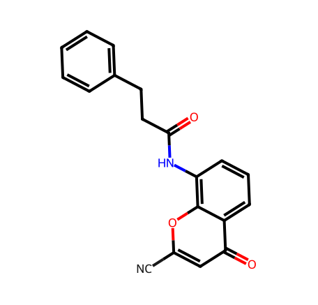 N#Cc1cc(=O)c2cccc(NC(=O)CCc3ccccc3)c2o1